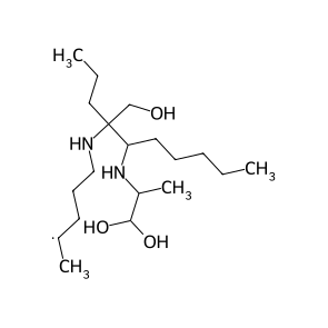 C[CH]CCCNC(CO)(CCC)C(CCCCC)NC(C)C(O)O